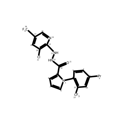 CC(C)c1ccc(-n2cccc2C(=O)NNc2ncc(C(F)(F)F)cc2Cl)c(C(F)(F)F)c1